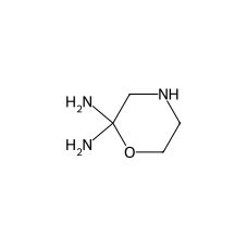 NC1(N)CNCCO1